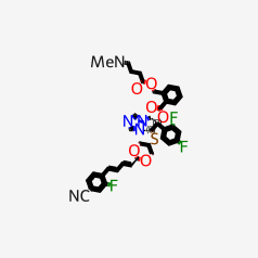 CNCCCC(=O)OCc1ccccc1C(=O)O[C@@](Cn1cncn1)(c1ccc(F)cc1F)[C@@H](C)S[C@H]1CO[C@H](C=CC=Cc2ccc(C#N)cc2F)OC1